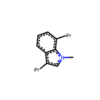 CC(C)c1cn(C)c2c(C(C)C)cccc12